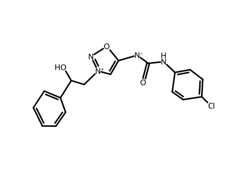 O=C([N-]c1c[n+](CC(O)c2ccccc2)no1)Nc1ccc(Cl)cc1